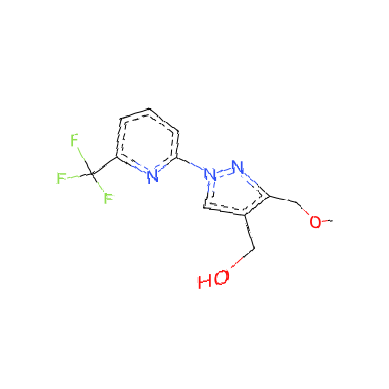 COCc1nn(-c2cccc(C(F)(F)F)n2)cc1CO